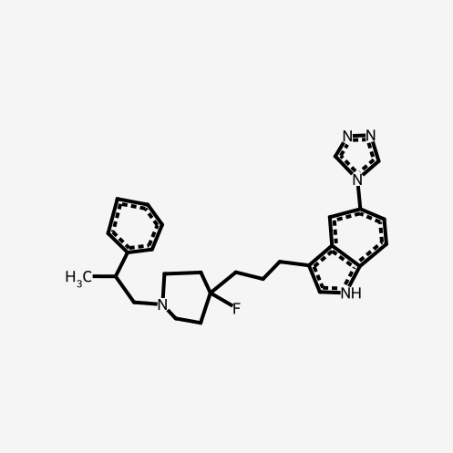 CC(CN1CCC(F)(CCCc2c[nH]c3ccc(-n4cnnc4)cc23)CC1)c1ccccc1